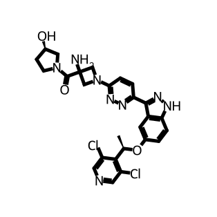 C[C@@H](Oc1ccc2[nH]nc(-c3ccc(N4CC(N)(C(=O)N5CC[C@@H](O)C5)C4)nn3)c2c1)c1c(Cl)cncc1Cl